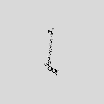 CC1C(C)C2CC1C1C3CC(C(=O)OCCOCCOCCOCCOOC=C(F)F)C(C3)C21